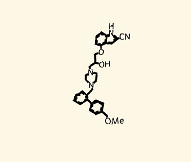 COCc1ccc(-c2ccccc2CN2CCN(CC(O)COc3cccc4[nH]c(C#N)cc34)CC2)cc1